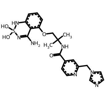 CC(C)(COc1cccc2c1C(N)=NS(O)(O)N2)NC(=O)c1ccnc(Cn2ccnc2)c1